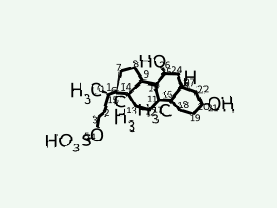 C[C@H](CCOS(=O)(=O)O)[C@H]1CCC2C3C(CC[C@@]21C)[C@@]1(C)CC[C@@H](O)C[C@H]1C[C@@H]3O